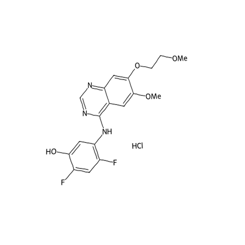 COCCOc1cc2ncnc(Nc3cc(O)c(F)cc3F)c2cc1OC.Cl